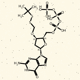 CC(C)(C)SSCO[C@@H]1C[C@H](n2cnc3c(=O)[nH]c(N)nc32)O[C@@H]1COP(=O)(O)OP(=O)(O)OP(=O)(O)O